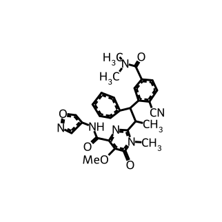 COc1c(C(=O)Nc2cnoc2)nc(C(C)C(c2ccccc2)c2cc(C(=O)N(C)C)ccc2C#N)n(C)c1=O